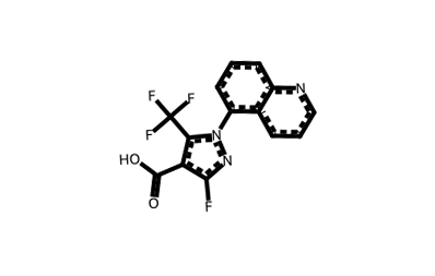 O=C(O)c1c(F)nn(-c2cccc3ncccc23)c1C(F)(F)F